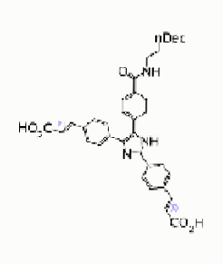 CCCCCCCCCCCCNC(=O)c1ccc(-c2[nH]c(-c3ccc(/C=C/C(=O)O)cc3)nc2-c2ccc(/C=C/C(=O)O)cc2)cc1